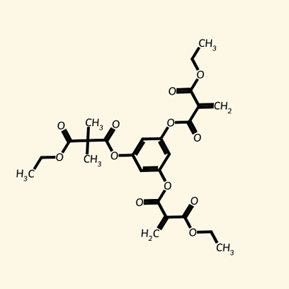 C=C(C(=O)OCC)C(=O)Oc1cc(OC(=O)C(=C)C(=O)OCC)cc(OC(=O)C(C)(C)C(=O)OCC)c1